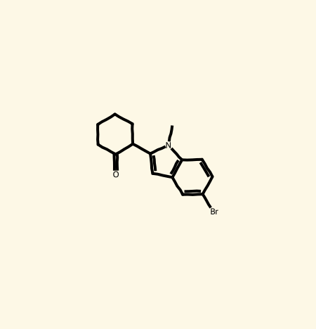 Cn1c(C2CCCCC2=O)cc2cc(Br)ccc21